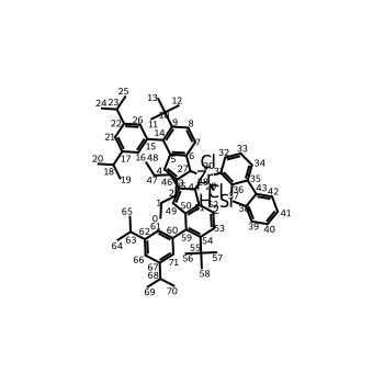 CCCC1=Cc2c(ccc(C(C)(C)C)c2-c2cc(C(C)C)cc(C(C)C)c2)[CH]1[Zr]([Cl])([Cl])([c]1cccc2c1[SiH2]c1ccccc1-2)[CH]1C(CCC)=Cc2c1ccc(C(C)(C)C)c2-c1cc(C(C)C)cc(C(C)C)c1